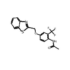 CC(=O)Nc1ccc(OCc2nc3ccccc3s2)cc1C(F)(F)F